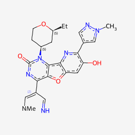 CC[C@H]1C[C@@H](n2c(=O)nc(/C(C=N)=C/NC)c3oc4cc(O)c(-c5cnn(C)c5)nc4c32)CCO1